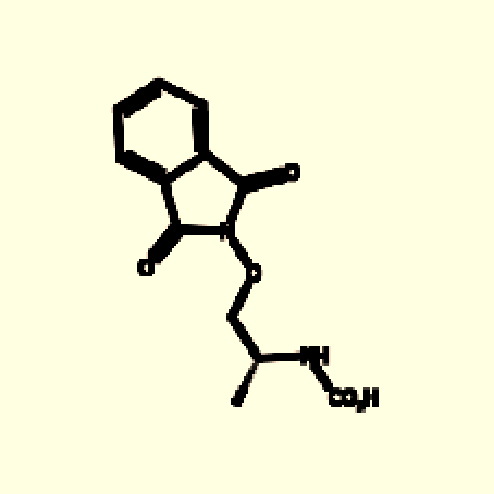 C[C@H](CON1C(=O)c2ccccc2C1=O)NC(=O)O